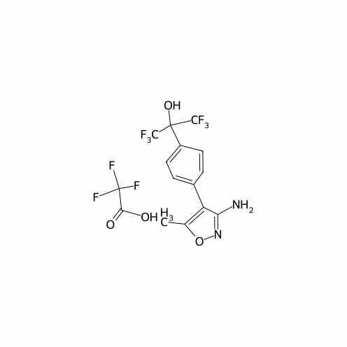 Cc1onc(N)c1-c1ccc(C(O)(C(F)(F)F)C(F)(F)F)cc1.O=C(O)C(F)(F)F